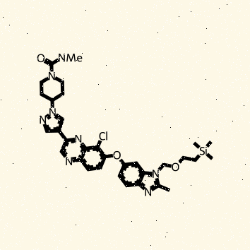 CNC(=O)N1CCC(n2cc(-c3cnc4ccc(Oc5ccc6nc(C)n(COCC[Si](C)(C)C)c6c5)c(Cl)c4n3)cn2)CC1